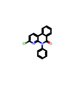 O=c1c2ccccc2c2ccc(Cl)nc2n1-c1ccccc1